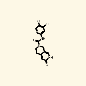 O=C(Nc1cc(Cl)c(Cl)cn1)N1CCc2cc(=O)[nH]cc2C1